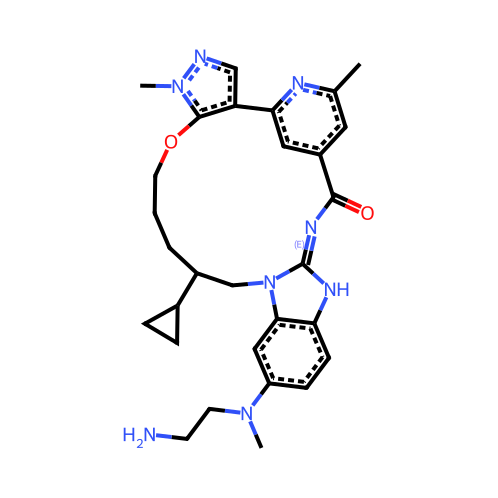 Cc1cc2cc(n1)-c1cnn(C)c1OCCCC(C1CC1)CN1/C(=N/C2=O)Nc2ccc(N(C)CCN)cc21